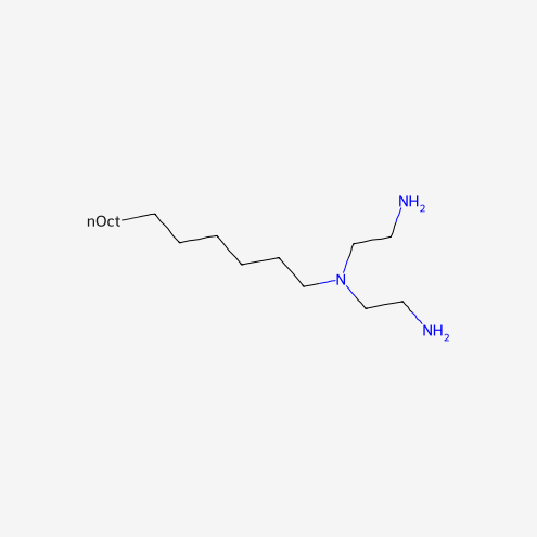 CCCCCCCCCCCCCCN(CCN)CCN